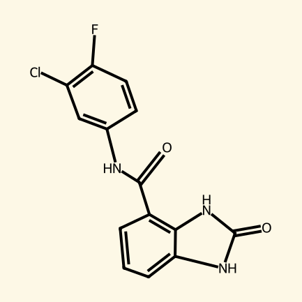 O=C(Nc1ccc(F)c(Cl)c1)c1cccc2[nH]c(=O)[nH]c12